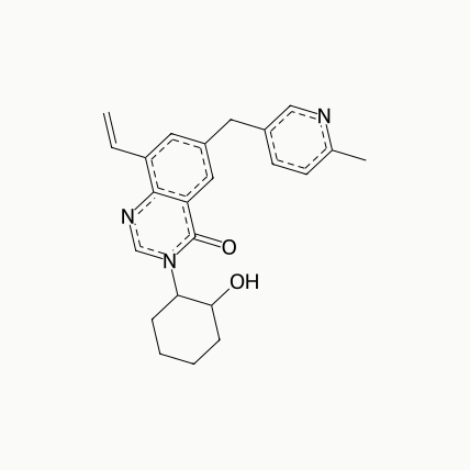 C=Cc1cc(Cc2ccc(C)nc2)cc2c(=O)n(C3CCCCC3O)cnc12